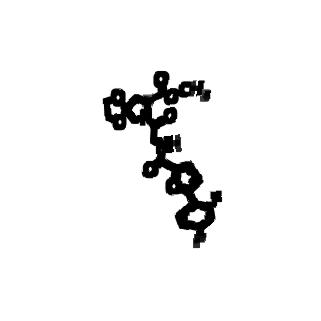 COC(=O)[C@@H]1CC2(CN1C(=O)CNC(=O)c1ccc(-c3ccc(F)cc3F)o1)OCCO2